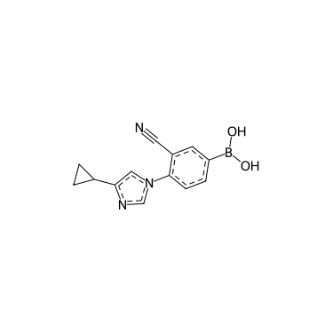 N#Cc1cc(B(O)O)ccc1-n1cnc(C2CC2)c1